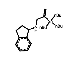 C=[C](CN[C@@H]1CCc2ccccc21)[Sn]([CH2]CCC)([CH2]CCC)[CH2]CCC